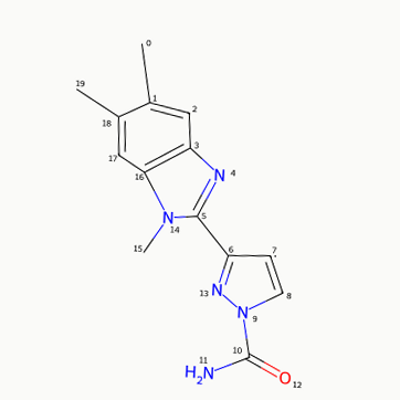 Cc1cc2nc(-c3[c]cn(C(N)=O)n3)n(C)c2cc1C